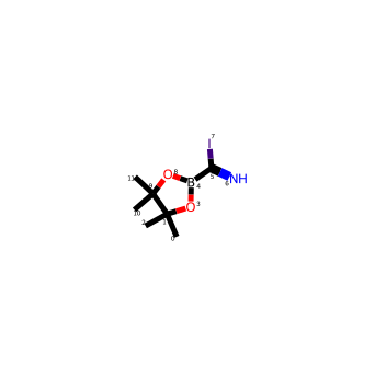 CC1(C)OB(C(=N)I)OC1(C)C